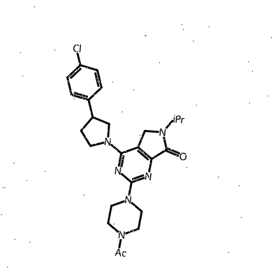 CC(=O)N1CCN(c2nc3c(c(N4CCC(c5ccc(Cl)cc5)C4)n2)CN(C(C)C)C3=O)CC1